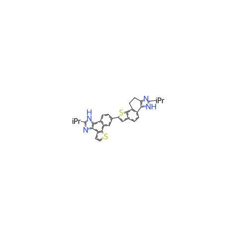 CC(C)c1nc2c([nH]1)-c1ccc3cc(-c4ccc5c(c4)c4sccc4c4nc(C(C)C)[nH]c54)sc3c1CC2